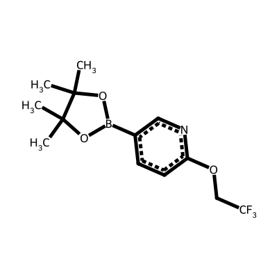 CC1(C)OB(c2ccc(OCC(F)(F)F)nc2)OC1(C)C